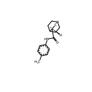 Cc1ccc(NC(=O)[C@H]2CN3CCC2CC3)cc1